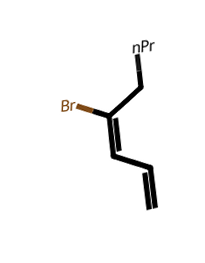 C=C/C=C(/Br)CCCC